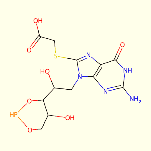 Nc1nc2c(nc(SCC(=O)O)n2CC(O)C2OPOCC2O)c(=O)[nH]1